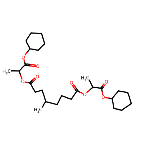 CC(CCCC(=O)OC(C)C(=O)OC1CCCCC1)CCC(=O)OC(C)C(=O)OC1CCCCC1